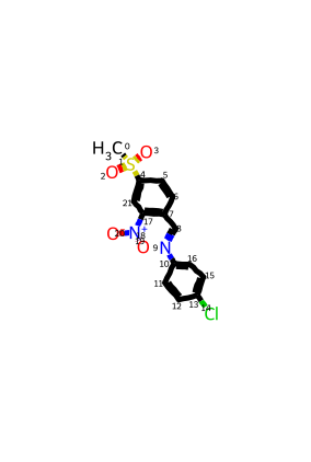 CS(=O)(=O)c1ccc(C=Nc2ccc(Cl)cc2)c([N+](=O)[O-])c1